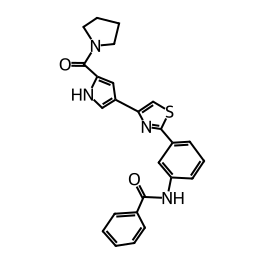 O=C(Nc1cccc(-c2nc(-c3c[nH]c(C(=O)N4CCCC4)c3)cs2)c1)c1ccccc1